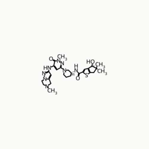 CN1CCn2nc(Nc3cc(N4CCC[C@@H](NC(=O)c5cc6c(s5)CC(C)(C)[C@@H]6O)C4)nn(C)c3=O)cc2C1